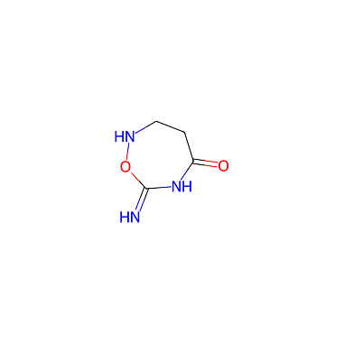 N=C1NC(=O)CCNO1